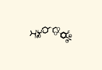 CC(C)c1noc(N2CCC(C[C@H]3CO[C@@H](c4ccc(S(C)(=O)=O)c(F)c4)OC3)CC2)n1